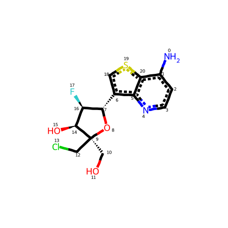 Nc1ccnc2c([C@@H]3O[C@@](CO)(CCl)[C@@H](O)[C@H]3F)csc12